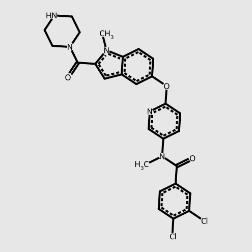 CN(C(=O)c1ccc(Cl)c(Cl)c1)c1ccc(Oc2ccc3c(c2)cc(C(=O)N2CCNCC2)n3C)nc1